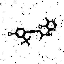 Cc1ncnc(NC(C)CC#Cc2ccc(Cl)cc2C(F)(F)F)c1Cl